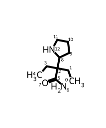 CCC(CC)(C(N)=O)C1CCCN1